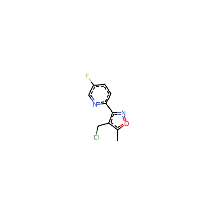 Cc1onc(-c2ccc(F)cn2)c1CCl